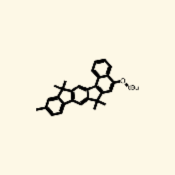 Cc1ccc2c(c1)C(C)(C)c1cc3c(cc1-2)C(C)(C)c1cc(OC(C)(C)C)c2ccccc2c1-3